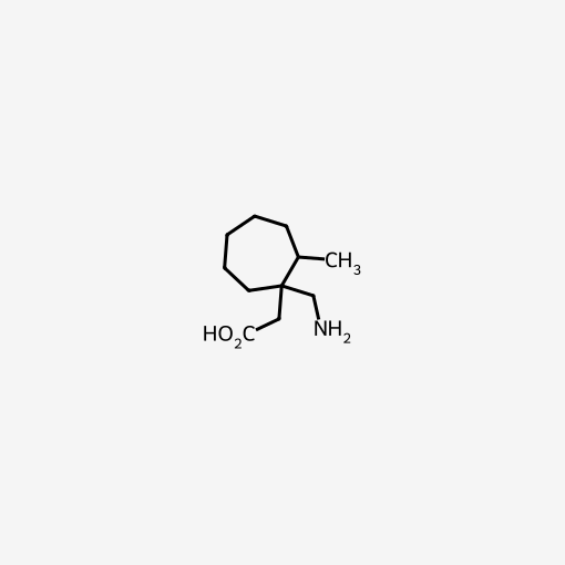 CC1CCCCCC1(CN)CC(=O)O